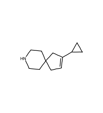 C1=C(C2CC2)CC2(C1)CCNCC2